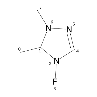 CC1N(F)C=NN1C